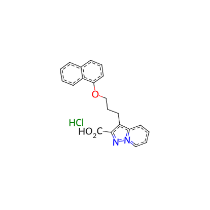 Cl.O=C(O)c1nn2ccccc2c1CCCOc1cccc2ccccc12